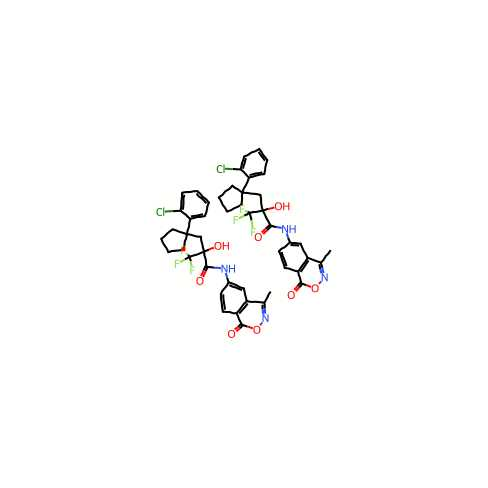 Cc1noc(=O)c2ccc(NC(=O)C(O)(CC3(c4ccccc4Cl)CCCC3)C(F)(F)F)cc12.Cc1noc(=O)c2ccc(NC(=O)C(O)(CC3(c4ccccc4Cl)CCCC3)C(F)(F)F)cc12